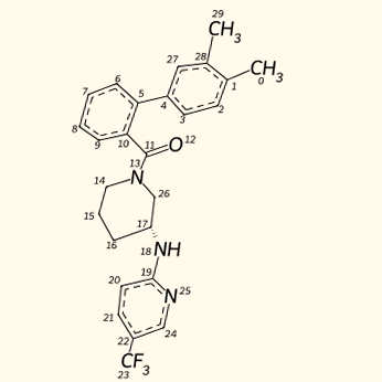 Cc1ccc(-c2ccccc2C(=O)N2CCC[C@@H](Nc3ccc(C(F)(F)F)cn3)C2)cc1C